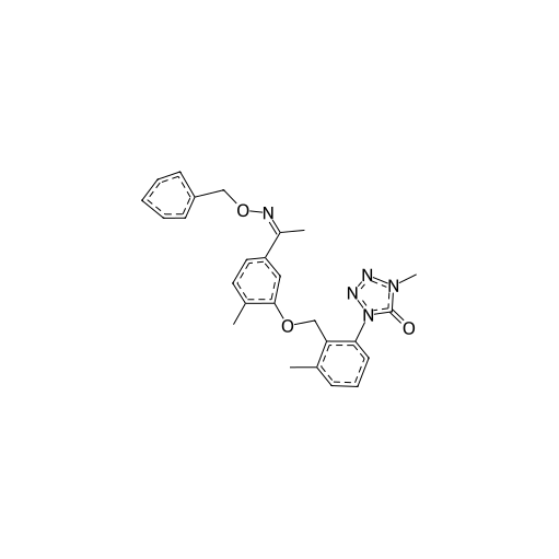 CC(=NOCc1ccccc1)c1ccc(C)c(OCc2c(C)cccc2-n2nnn(C)c2=O)c1